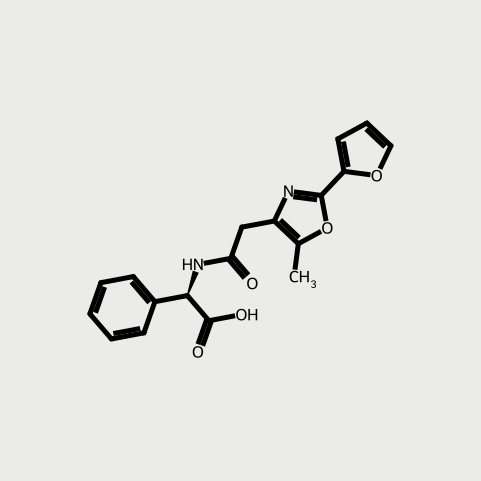 Cc1oc(-c2ccco2)nc1CC(=O)N[C@@H](C(=O)O)c1ccccc1